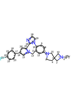 CC(C)N1CC2(CCN(c3ccc4c(c3)Cn3cc(-c5ccc(F)cc5)cc3-c3nccn3-4)C2)C1